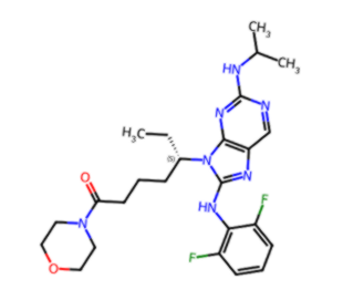 CC[C@@H](CCCC(=O)N1CCOCC1)n1c(Nc2c(F)cccc2F)nc2cnc(NC(C)C)nc21